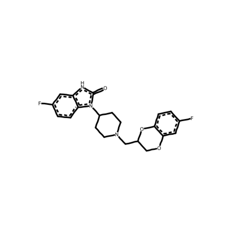 O=c1[nH]c2cc(F)ccc2n1C1CCN(CC2COc3cc(F)ccc3O2)CC1